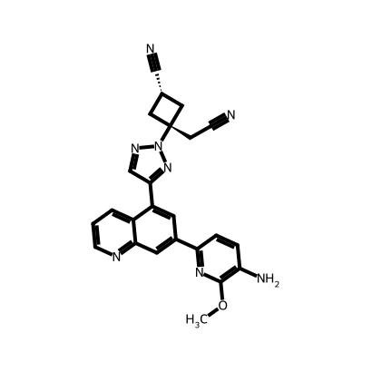 COc1nc(-c2cc(-c3cnn([C@]4(CC#N)C[C@H](C#N)C4)n3)c3cccnc3c2)ccc1N